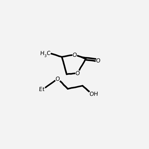 CC1COC(=O)O1.CCOCCO